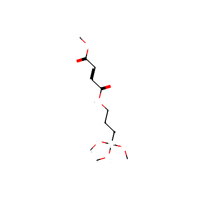 COC(=O)C=CC(=O)OCCC[Si](OC)(OC)OC